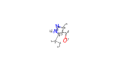 CCC(C)c1c(C=O)c(C)nn1C